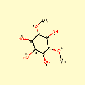 CO[C@@H]1C(O)[C@H](OC)[C@@H](O)C(O)[C@H]1O